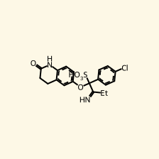 CCC(=N)C(Oc1ccc2c(c1)CCC(=O)N2)(c1ccc(Cl)cc1)S(=O)(=O)O